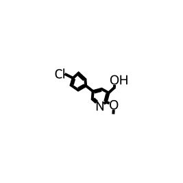 COc1ncc(-c2ccc(Cl)cc2)cc1CO